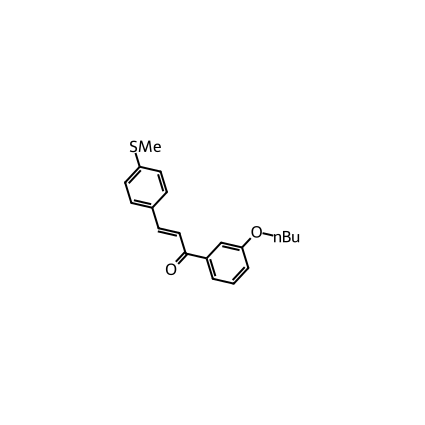 CCCCOc1cccc(C(=O)C=Cc2ccc(SC)cc2)c1